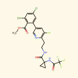 COC(=O)c1c(Cl)cc(Cl)cc1-c1cnc(CCNC(=O)C2(NC(=O)C(F)(F)F)CC2)c(F)c1